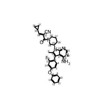 Cc1c(-c2ccc(Oc3ccccc3)cc2F)c2c(N)ncnc2n1[C@@H]1CCCN(C(=O)/C(C#N)=C/C2CC2)C1